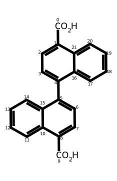 O=C(O)c1ccc(-c2ccc(C(=O)O)c3ccccc23)c2ccccc12